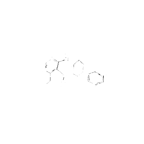 CCc1ncnc(N[C@H]2CC[C@@H](c3ccccc3)CC2)c1OC